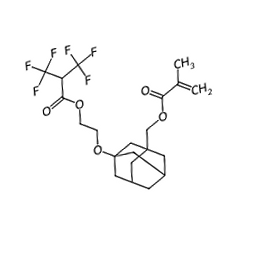 C=C(C)C(=O)OCC12CC3CC(C1)CC(OCCOC(=O)C(C(F)(F)F)C(F)(F)F)(C3)C2